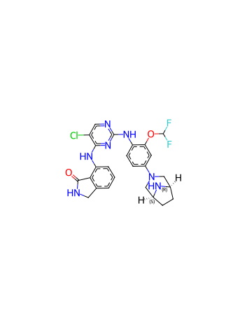 O=C1NCc2cccc(Nc3nc(Nc4ccc(N5C[C@H]6CC[C@@H](C5)N6)cc4OC(F)F)ncc3Cl)c21